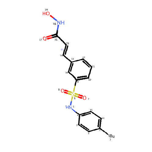 CC(C)(C)c1ccc(NS(=O)(=O)c2cccc(/C=C/C(=O)NO)c2)cc1